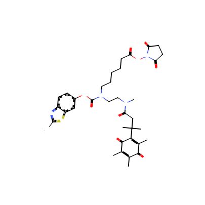 CC1=C(C)C(=O)C(C(C)(C)CC(=O)N(C)CCN(CCCCCC(=O)ON2C(=O)CCC2=O)C(=O)Oc2ccc3nc(C#N)sc3c2)=C(C)C1=O